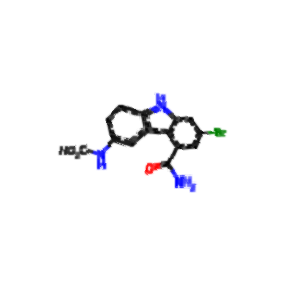 NC(=O)c1cc(Br)cc2[nH]c3ccc(NC(=O)O)cc3c12